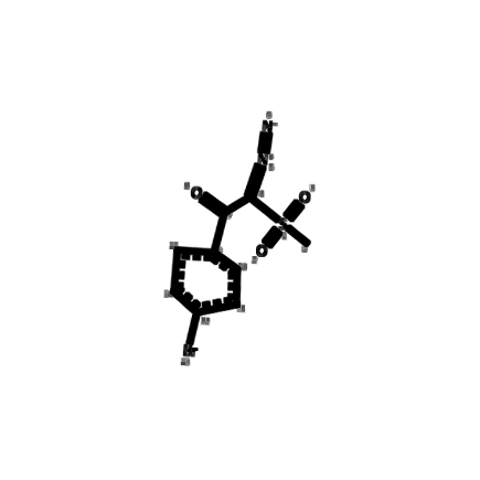 CS(=O)(=O)C(=[N+]=[N-])C(=O)c1ccc(Br)cc1